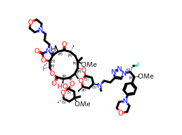 CO[C@H](c1ccc(N2CCOCC2)cc1)[C@@H](CF)n1cc(CCN(C)[C@@H]2C[C@H](O[C@@H]3[C@@H](C)[C@H](O[C@]4(O)C[C@@](C)(OC)C[C@H](C)O4)[C@@H](C)C(=O)O[C@H](I)[C@@]4(C)OC(=O)N(CCCN5CCOCC5)[C@@H]4[C@@H](C)C(=O)[C@H](C)C[C@@]3(C)OC)O[C@H](C)C2)nn1